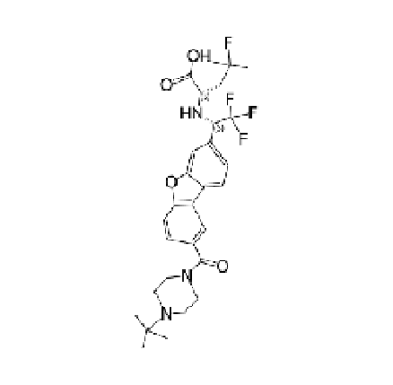 CC(C)(F)C[C@H](N[C@@H](c1ccc2c(c1)oc1ccc(C(=O)N3CCN(C(C)(C)C)CC3)cc12)C(F)(F)F)C(=O)O